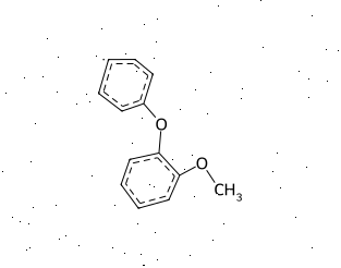 COc1ccccc1Oc1cc[c]cc1